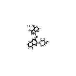 Cc1cccc2cc(Cn3nc(I)c4c(N)ncnc43)c(N3CCN(C)CC3)nc12